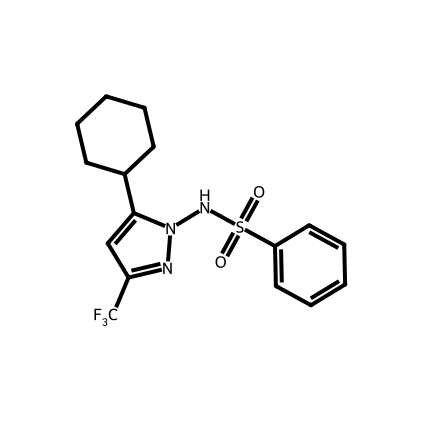 O=S(=O)(Nn1nc(C(F)(F)F)cc1C1CCCCC1)c1ccccc1